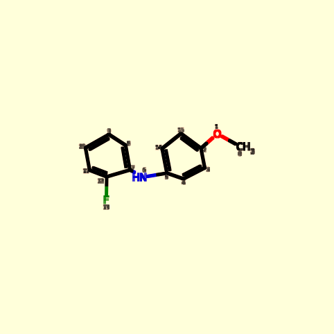 COc1ccc(Nc2ccccc2F)cc1